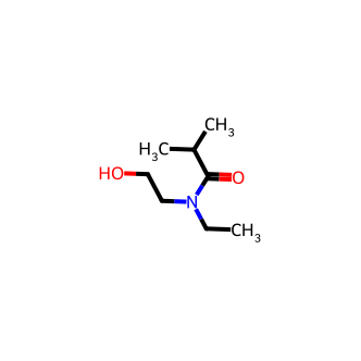 CCN(CCO)C(=O)C(C)C